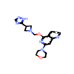 c1cnc2cc(N3CCOCC3)nc(OCN3CC(c4ncn[nH]4)C3)c2c1